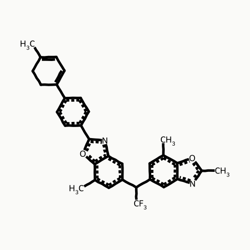 CC1=CC=C(c2ccc(-c3nc4cc(C(c5cc(C)c6oc(C)nc6c5)C(F)(F)F)cc(C)c4o3)cc2)CC1